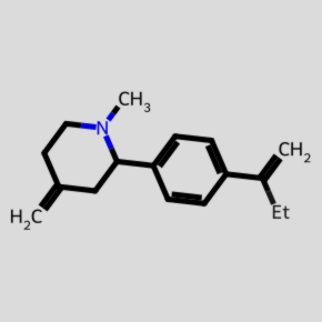 C=C1CCN(C)C(c2ccc(C(=C)CC)cc2)C1